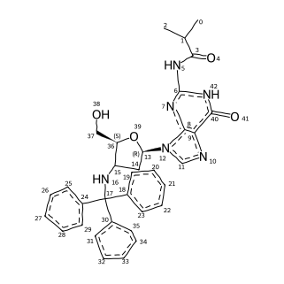 CC(C)C(=O)Nc1nc2c(ncn2[C@H]2CC(NC(c3ccccc3)(c3ccccc3)c3ccccc3)[C@@H](CO)O2)c(=O)[nH]1